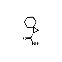 [NH]C(=O)[C@@H]1CC12CCCCC2